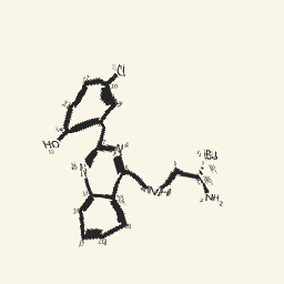 CC[C@@H](C)[C@@H](N)CNc1nc(-c2cc(Cl)ccc2O)nc2ccccc12